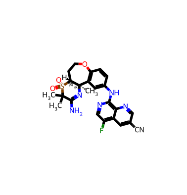 CC1(C)C(N)=N[C@]2(C)c3cc(Nc4ncc(F)c5cc(C#N)cnc45)ccc3OCC[C@H]2S1(=O)=O